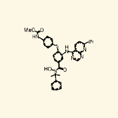 COC(=O)Nc1ccc(Sc2ccc(C(=O)N(O)C(C)(C)c3ccccc3)cc2Nc2ncnc3nc(C(C)C)ccc23)cc1